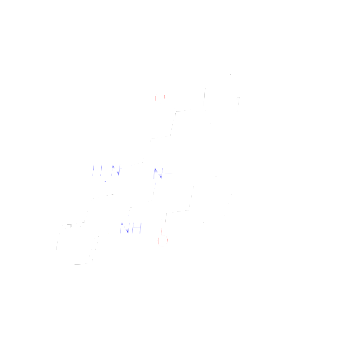 NC1CC(C(=O)c2ccccc2)CCN1C(C(=O)C1CCCCC1)C1CCc2ccccc2N1